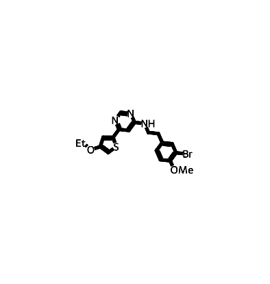 CCOc1csc(-c2cc(NCCc3ccc(OC)c(Br)c3)ncn2)c1